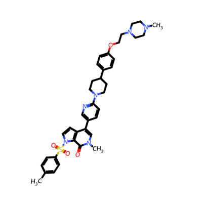 Cc1ccc(S(=O)(=O)n2ccc3c(-c4ccc(N5CCC(c6ccc(OCCN7CCN(C)CC7)cc6)CC5)nc4)cn(C)c(=O)c32)cc1